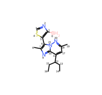 Bc1ncsc1-c1c(C)nc2c(C(CC)CC)cc(C)nn12